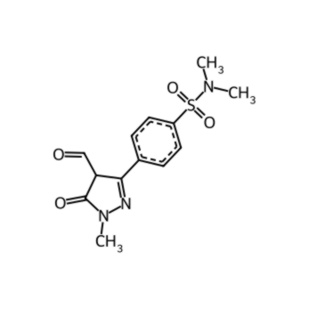 CN1N=C(c2ccc(S(=O)(=O)N(C)C)cc2)C(C=O)C1=O